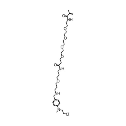 C=C(C)C(=O)NCCOCCOCCOCCOCCC(=O)NCCCOCCCNCc1ccc(N(C)CCCl)cc1